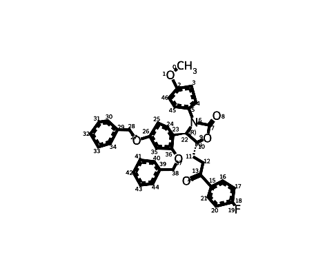 COc1ccc(N2C(=O)O[C@H](CCC(=O)c3ccc(F)cc3)[C@H]2c2ccc(OCc3ccccc3)cc2OCc2ccccc2)cc1